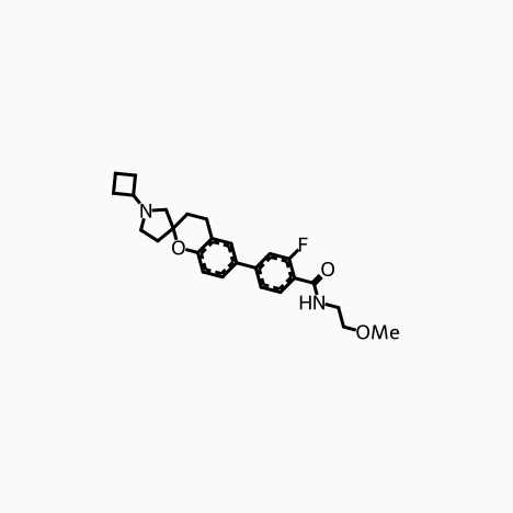 COCCNC(=O)c1ccc(-c2ccc3c(c2)CCC2(CCN(C4CCC4)C2)O3)cc1F